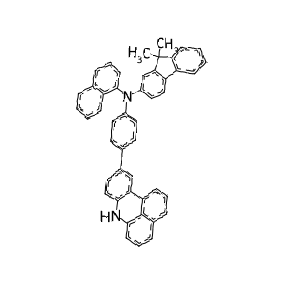 CC1(C)c2ccccc2-c2ccc(N(c3ccc(-c4ccc5c(c4)-c4cccc6cccc(c46)N5)cc3)c3cccc4ccccc34)cc21